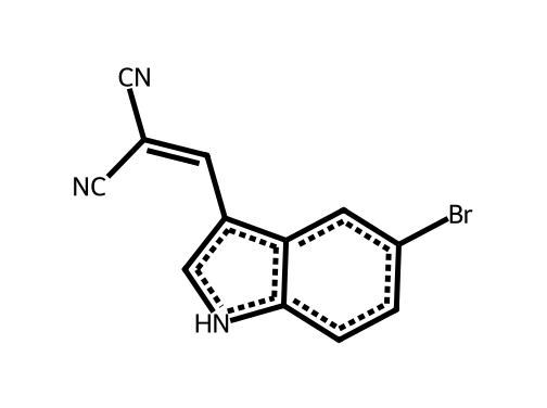 N#CC(C#N)=Cc1c[nH]c2ccc(Br)cc12